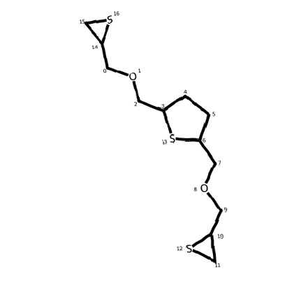 C(OCC1CCC(COCC2CS2)S1)C1CS1